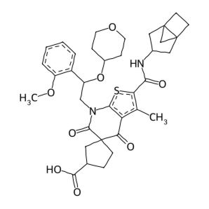 COc1ccccc1C(CN1C(=O)C2(CCC(C(=O)O)C2)C(=O)c2c1sc(C(=O)NC1CC34CCC3(C1)C4)c2C)OC1CCOCC1